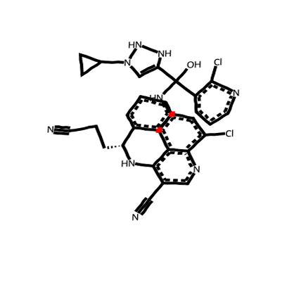 N#CCC[C@@H](Nc1c(C#N)cnc2c(Cl)cc(NC(O)(C3=CN(C4CC4)NN3)c3cccnc3Cl)cc12)c1ccccc1